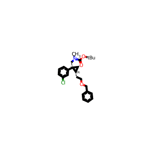 CN(C[C@]1(c2cccc(Cl)c2)C[C@@H]1CCOCc1ccccc1)C(=O)OC(C)(C)C